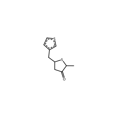 CC1SC(Cc2ccsc2)CC1=O